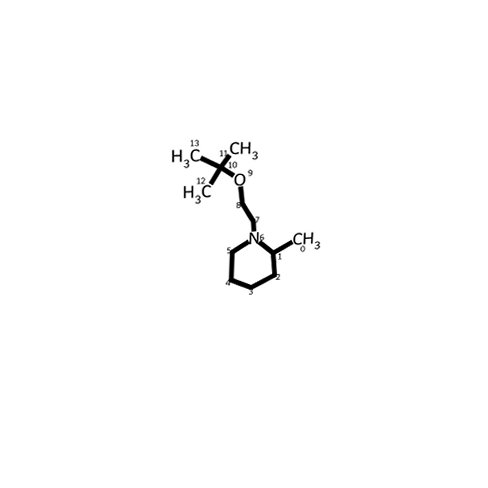 CC1CCCCN1CCOC(C)(C)C